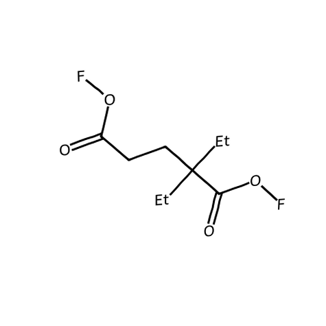 CCC(CC)(CCC(=O)OF)C(=O)OF